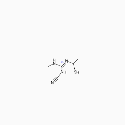 CN/C(=N/C(C)S)NC#N